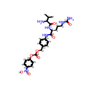 CC(C)C(N)C(=O)N[C@@H](CCCNC(N)=O)C(=O)Nc1ccc(COC(=O)Oc2ccc([N+](=O)[O-])cc2)cc1